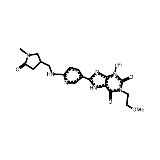 CCCn1c(=O)n(CCOC)c(=O)c2[nH]c(-c3ccc(NCC4CC(=O)N(C)C4)nc3)nc21